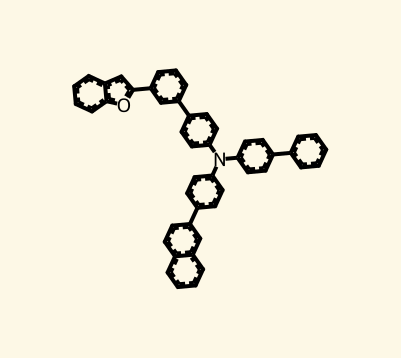 c1ccc(-c2ccc(N(c3ccc(-c4cccc(-c5cc6ccccc6o5)c4)cc3)c3ccc(-c4ccc5ccccc5c4)cc3)cc2)cc1